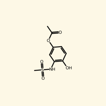 CC(=O)Oc1ccc(O)c(NS(C)(=O)=O)c1